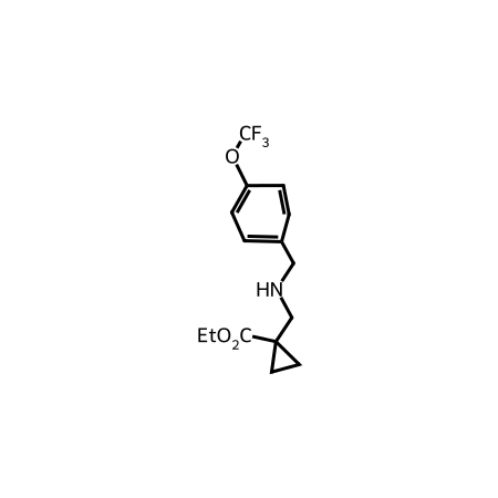 CCOC(=O)C1(CNCc2ccc(OC(F)(F)F)cc2)CC1